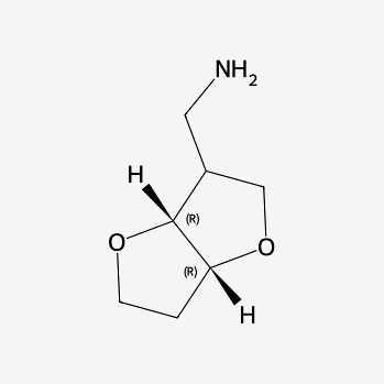 NCC1CO[C@@H]2CCO[C@H]12